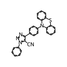 N#Cc1c(-c2ccc(N3c4ccccc4Sc4ccccc43)cc2)nnn1-c1ccccc1